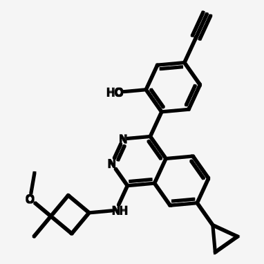 C#Cc1ccc(-c2nnc(NC3CC(C)(OC)C3)c3cc(C4CC4)ccc23)c(O)c1